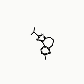 Cc1ccc2c(c1)CCCc1nc(C(C)C)[nH]c1-2